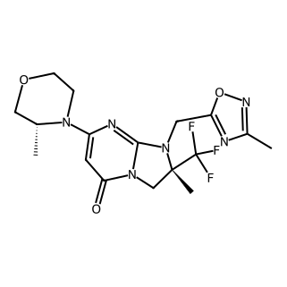 Cc1noc(CN2c3nc(N4CCOC[C@H]4C)cc(=O)n3C[C@@]2(C)C(F)(F)F)n1